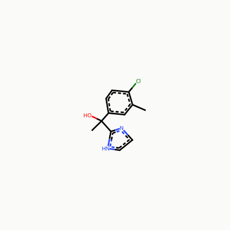 Cc1cc(C(C)(O)c2ncc[nH]2)ccc1Cl